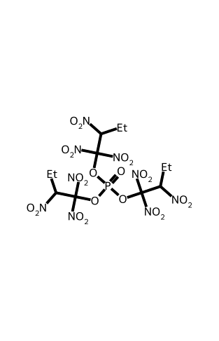 CCC([N+](=O)[O-])C(OP(=O)(OC(C(CC)[N+](=O)[O-])([N+](=O)[O-])[N+](=O)[O-])OC(C(CC)[N+](=O)[O-])([N+](=O)[O-])[N+](=O)[O-])([N+](=O)[O-])[N+](=O)[O-]